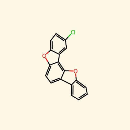 Clc1ccc2oc3ccc4c5ccccc5oc4c3c2c1